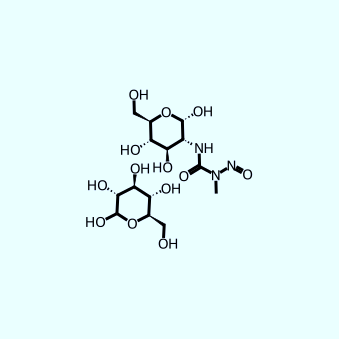 CN(N=O)C(=O)N[C@@H]1[C@@H](O)[C@H](O)[C@@H](CO)O[C@@H]1O.OC[C@H]1OC(O)[C@H](O)[C@@H](O)[C@@H]1O